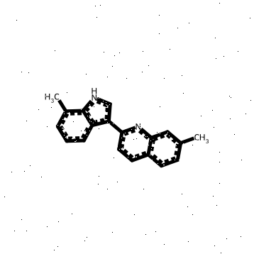 Cc1ccc2ccc(-c3c[nH]c4c(C)cccc34)nc2c1